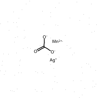 O=C([O-])[O-].[Ag+].[Mn+2]